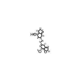 COc1cc(C=Cc2cc(O)c3ccsc3c2)cc2ccoc12